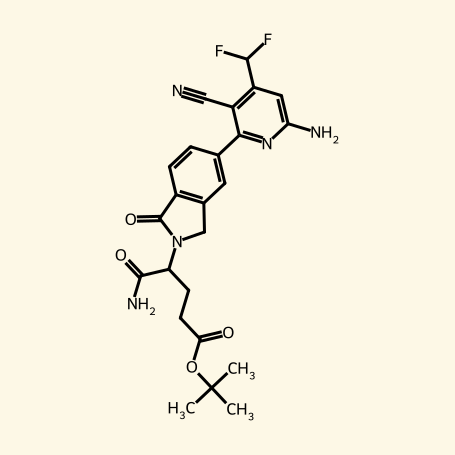 CC(C)(C)OC(=O)CCC(C(N)=O)N1Cc2cc(-c3nc(N)cc(C(F)F)c3C#N)ccc2C1=O